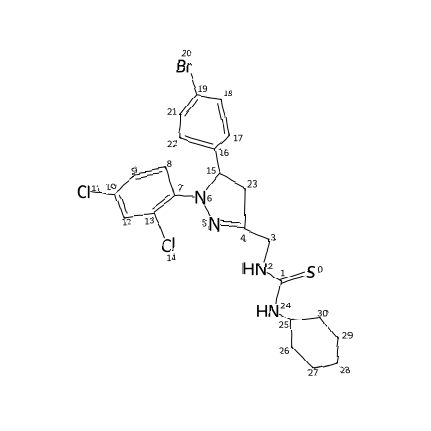 S=C(NCC1=NN(c2ccc(Cl)cc2Cl)C(c2ccc(Br)cc2)C1)NC1CCCCC1